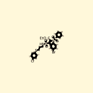 CCOC(=O)c1c(S(=O)(=O)NCCCSc2ccc(Cl)cc2)c2cc(Br)ccc2n1S(=O)(=O)c1ccccc1